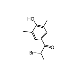 Cc1cc(C(=O)C(C)Br)cc(C)c1O